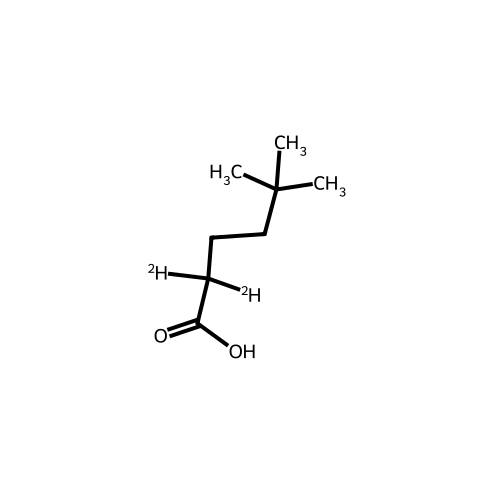 [2H]C([2H])(CCC(C)(C)C)C(=O)O